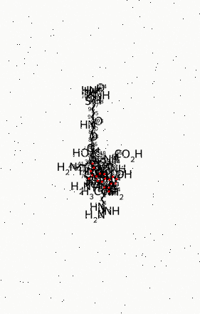 C[C@H](CCCNC(=N)N)NC(=O)[C@@H]1CCCN1C(=O)[C@H](Cc1ccccc1)NC(=O)[C@H](CC(N)=O)NC(=O)[C@H](CCCCN)NC(=O)[C@H](CC(=O)O)NC(=O)[C@H](CCC(=O)O)NC(=O)[C@H](CO)NC(=O)[C@H](CC(N)=O)NC(=O)[C@@H]1CCCN1C(=O)COCCOCCOCCNC(=O)CCCC[C@H]1SC[C@H]2NC(=O)N[C@H]21